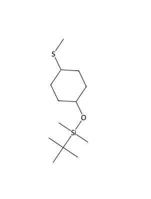 CSC1CCC(O[Si](C)(C)C(C)(C)C)CC1